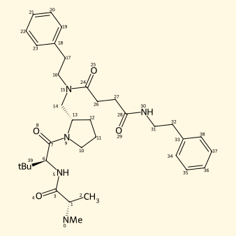 CN[C@@H](C)C(=O)N[C@H](C(=O)N1CCC[C@H]1CN(CCc1ccccc1)C(=O)CCC(=O)NCCc1ccccc1)C(C)(C)C